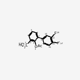 CC(=O)Oc1c(C(=O)O)cccc1-c1ccc(F)c(F)c1